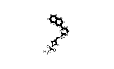 CS(=O)(=O)N1CC(CNc2nccc(-c3ccc4ccccc4c3)n2)C1